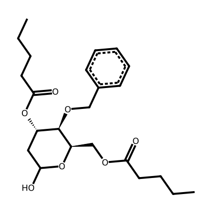 CCCCC(=O)OC[C@H]1OC(O)C[C@H](OC(=O)CCCC)[C@H]1OCc1ccccc1